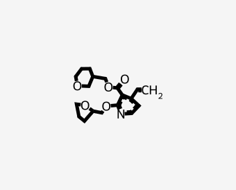 C=Cc1ccnc(OCC2CCCO2)c1C(=O)OCC1CCCOC1